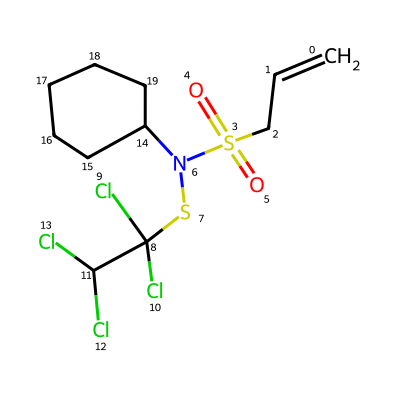 C=CCS(=O)(=O)N(SC(Cl)(Cl)C(Cl)Cl)C1CCCCC1